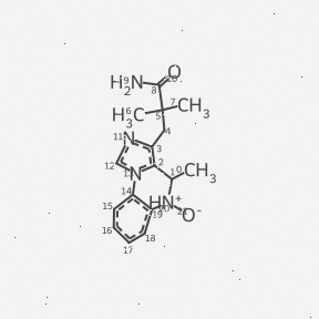 CC1c2c(CC(C)(C)C(N)=O)ncn2-c2ccccc2[NH+]1[O-]